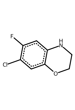 Fc1cc2c(cc1Cl)OCCN2